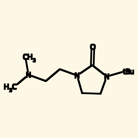 CN(C)CCN1CCN(C(C)(C)C)C1=O